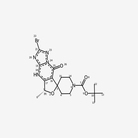 C[C@H]1OC2(CCN(C(=O)OC(C)(C)C)CC2)c2c1[nH]c1nc(Br)nn1c2=O